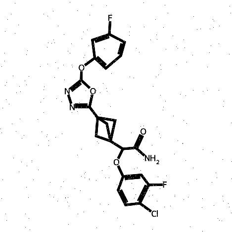 NC(=O)C(Oc1ccc(Cl)c(F)c1)C12CC(c3nnc(Oc4cccc(F)c4)o3)(C1)C2